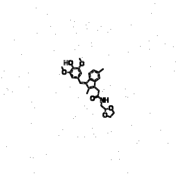 COc1cc(/C=C2/C(C)=C(CC(=O)NCC3OCCO3)c3cc(C)ccc32)cc(OC)c1O